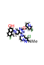 CCc1c(F)ccc2cc(O)cc(N3CCc4c(nc(OC[C@@]56CCCN5C[C@H](F)C6)nc4N4CCCn5nc(NC)c(Cl)c5C4)C3)c12